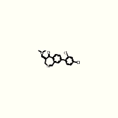 CN(C)C=C1CN=Cc2cc(-c3ccc(Cl)cc3Cl)ccc2C1=O